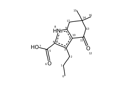 CCCc1c(C(=O)O)[nH]c2c1C(=O)CC(C)(C)C2